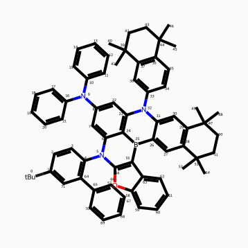 CC(C)(C)c1ccc(N2c3cc(N(c4ccccc4)c4ccccc4)cc4c3B(c3cc5c(cc3N4c3ccc4c(c3)C(C)(C)CCC4(C)C)C(C)(C)CCC5(C)C)c3c2oc2ccccc32)c(-c2ccccc2)c1